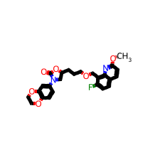 COc1ccc2ccc(F)c(COCCCC3CN(c4ccc5c(c4)OCCO5)C(=O)O3)c2n1